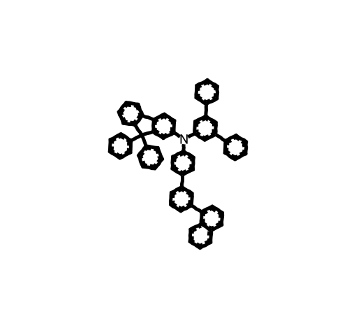 c1ccc(-c2cc(-c3ccccc3)cc(N(c3ccc(-c4cccc(-c5cccc6ccccc56)c4)cc3)c3ccc4c(c3)C(c3ccccc3)(c3ccccc3)c3ccccc3-4)c2)cc1